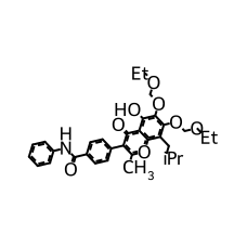 CCOCOc1c(OCOCC)c(O)c2c(=O)c(-c3ccc(C(=O)Nc4ccccc4)cc3)c(C)oc2c1CC(C)C